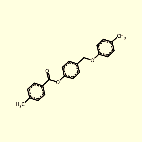 Cc1ccc(OCc2ccc(OC(=O)c3ccc(C)cc3)cc2)cc1